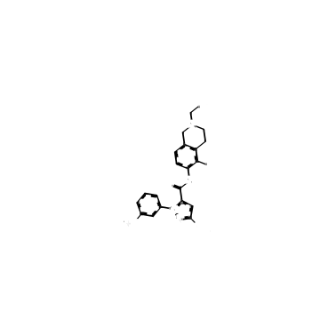 C[C](C)CN1CCc2c(ccc(NC(=O)c3cc(C(F)(F)F)nn3-c3cccc(C#N)c3)c2F)C1